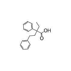 CCC(CCc1ccccc1)(C(=O)O)c1ccccc1